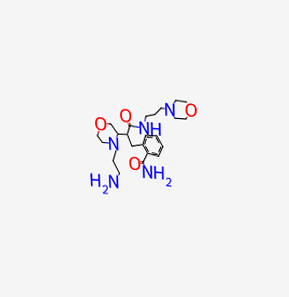 NCCCN1CCOCC1C(Cc1ccccc1C(N)=O)C(=O)NCCCN1CCOCC1